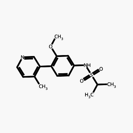 COc1cc(NS(=O)(=O)C(C)C)ccc1-c1cnccc1C